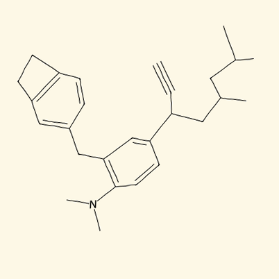 C#CC(CC(C)CC(C)C)c1ccc(N(C)C)c(Cc2ccc3c(c2)CC3)c1